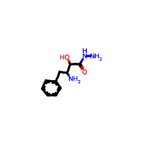 NNC(=O)C(O)C(N)Cc1ccccc1